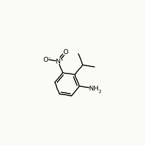 CC(C)c1c(N)cccc1[N+](=O)[O-]